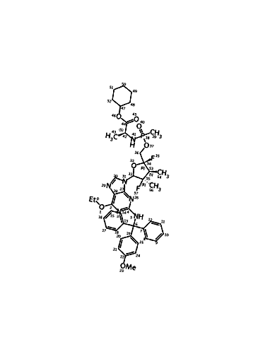 CCOc1nc(NC(c2ccccc2)(c2ccccc2)c2ccc(OC)cc2)nc2c1ncn2C1O[C@](F)(COP(C)(=O)N[C@@H](C)C(=O)OC2CCCCC2)[C@@H](C)[C@@]1(C)F